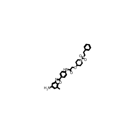 Cc1cc(N)cc2nc(-c3ccc(NC(=O)COC4CCN(S(=O)(=O)CCc5ccccc5)CC4)cc3)oc12